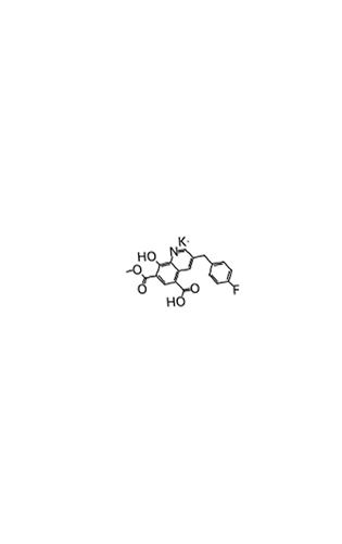 COC(=O)c1cc(C(=O)O)c2cc(Cc3ccc(F)cc3)cnc2c1O.[K]